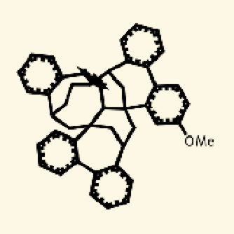 COc1ccc2c(c1)C13CC4CC5(CC(CCCC(C1)c1ccccc1-2)c1ccccc1-c1ccccc1C53)c1ccccc1-c1ccccc14